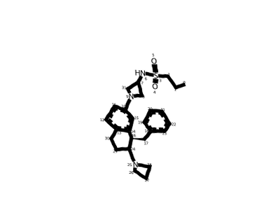 CCCS(=O)(=O)NC1CN(c2ccc3c(c2)[C@@H](Cc2ccccc2)C(N2CCC2)CC3)C1